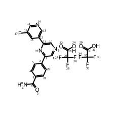 NC(=O)c1ccc(-c2cncc(-c3cncc(F)c3)n2)cc1.O=C(O)C(F)(F)F.O=C(O)C(F)(F)F